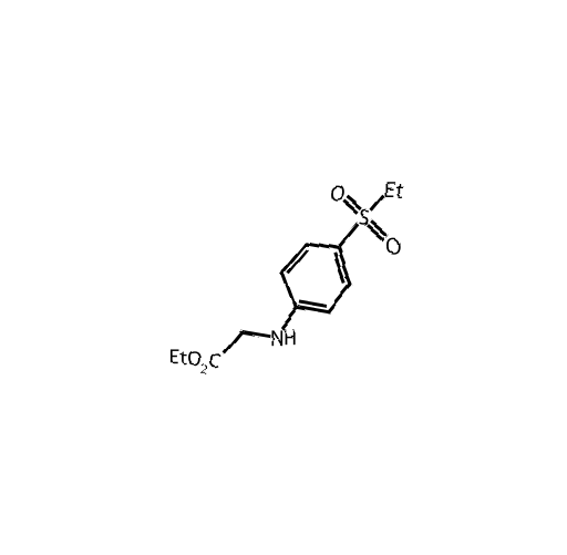 CCOC(=O)CNc1ccc(S(=O)(=O)CC)cc1